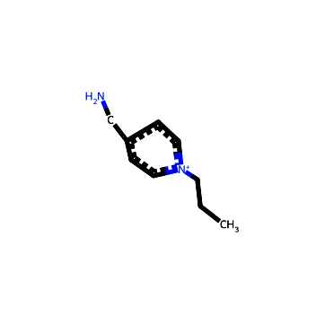 CCC[n+]1ccc(CN)cc1